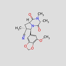 COc1cc([C@@H]2N3C(=O)[C@@H](C)N(C)C(=O)[C@@H]3C[C@]2(C)C#N)cc2c1OCO2